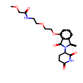 C=C1c2cccc(OCCOCCNC(=O)COC)c2C(=O)N1C1CCC(=O)NC1=O